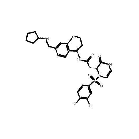 O=C(C[C@@H]1C(=O)NC=CN1S(=O)(=O)c1ccc(Cl)c(Cl)c1)N[C@@H]1CCOc2cc(CNC3CCCC3)ccc21